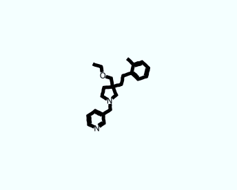 CCOCC1(CCc2ccccc2C)CCN(Cc2cccnc2)C1